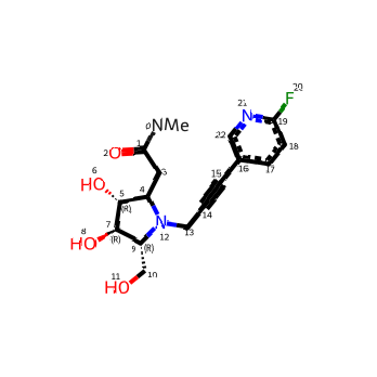 CNC(=O)CC1[C@@H](O)[C@H](O)[C@@H](CO)N1CC#Cc1ccc(F)nc1